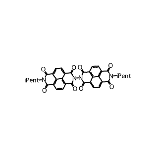 CCCC(C)N1C(=O)c2ccc3c4c(ccc(c24)C1=O)C(=O)N(N1C(=O)c2ccc4c5c(ccc(c25)C1=O)C(=O)N(C(C)CCC)C4=O)C3=O